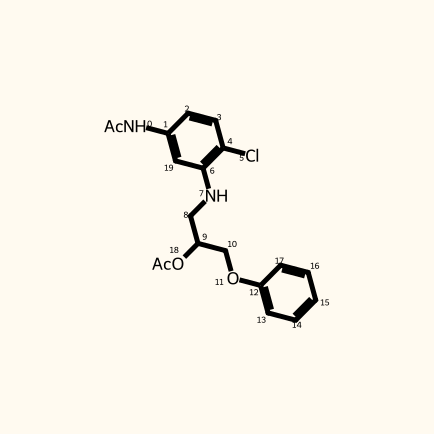 CC(=O)Nc1ccc(Cl)c(NCC(COc2ccccc2)OC(C)=O)c1